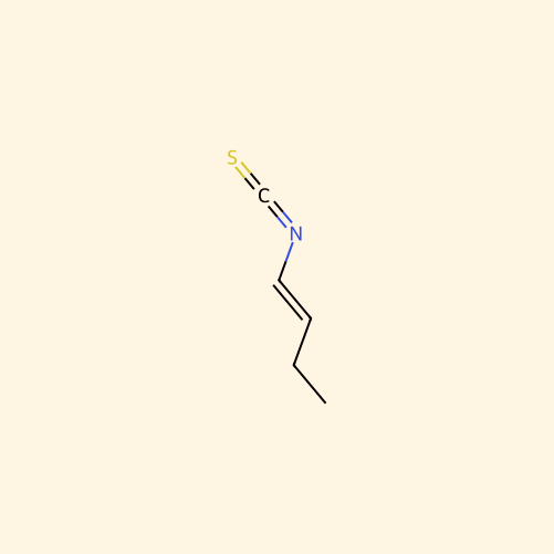 CCC=CN=C=S